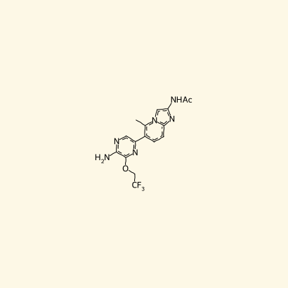 CC(=O)Nc1cn2c(C)c(-c3cnc(N)c(OCC(F)(F)F)n3)ccc2n1